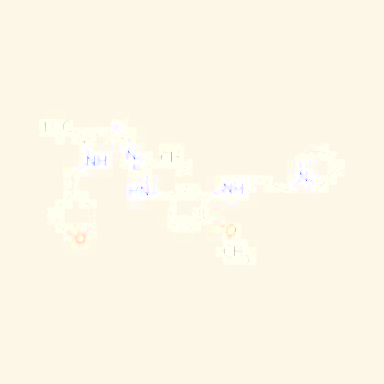 C=C(/C=C\N=C(/C)Nc1ccc(OC)c(NCCCN2CCCC2)c1)NCC1CCOCC1